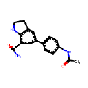 CC(=O)Nc1ccc(-c2cc3c(c(C(N)=O)c2)NCC3)cc1